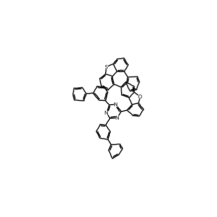 c1ccc(-c2cccc(-c3nc(-c4cccc(-c5ccccc5)c4)nc(-c4cccc5oc6ccc(-c7cccc8sc9cccc(-c%10ccccc%10)c9c78)cc6c45)n3)c2)cc1